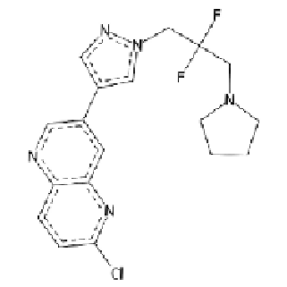 FC(F)(CN1CCCC1)Cn1cc(-c2cnc3ccc(Cl)nc3c2)cn1